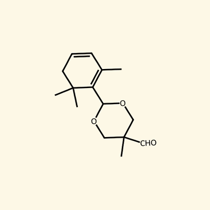 CC1=C(C2OCC(C)(C=O)CO2)C(C)(C)CC=C1